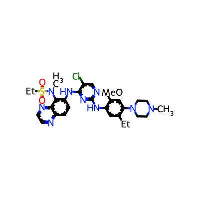 CCc1cc(Nc2ncc(Cl)c(Nc3ccc4nccnc4c3N(C)S(=O)(=O)CC)n2)c(OC)cc1N1CCN(C)CC1